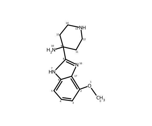 COc1cccc2[nH]c(C3(N)CCNCC3)nc12